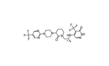 C[C@@H](CN1CCCC(N2CCN(c3ncc(C(F)(F)F)cn3)CC2)C1=O)Nc1cn[nH]c(=O)c1C(F)(F)F